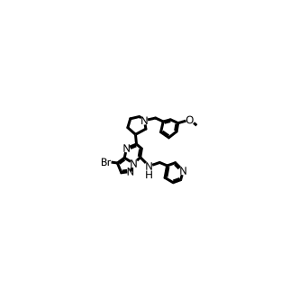 COc1cccc(CN2CCCC(c3cc(NCc4cccnc4)n4ncc(Br)c4n3)C2)c1